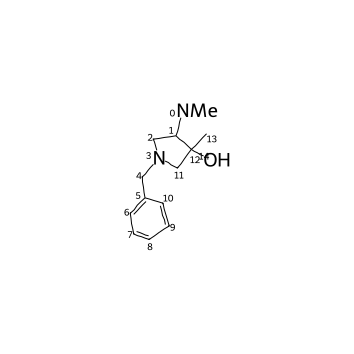 CNC1CN(Cc2ccccc2)CC1(C)O